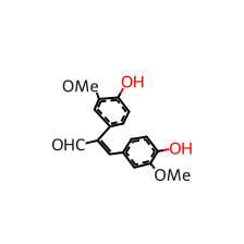 COc1cc(C=C(C=O)c2ccc(O)c(OC)c2)ccc1O